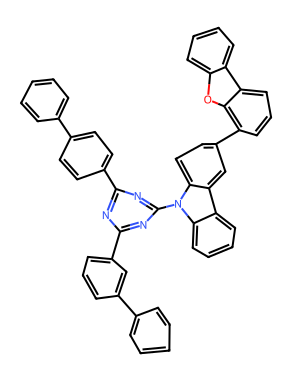 c1ccc(-c2ccc(-c3nc(-c4cccc(-c5ccccc5)c4)nc(-n4c5ccccc5c5cc(-c6cccc7c6oc6ccccc67)ccc54)n3)cc2)cc1